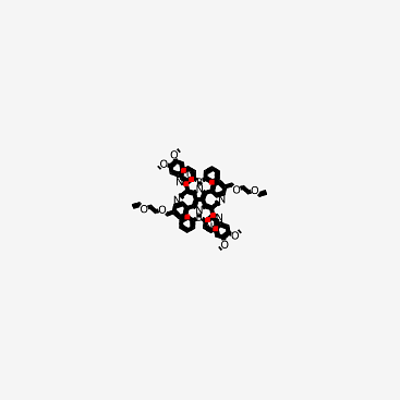 C=COCCOCc1ccc(-c2c3/c(=C(\C#N)c4cnc5cc(OC)c(OC)cc5n4)n(B(c4ccccc4)c4ccccc4)c(-c4ccc(COCCOC=C)cc4)c3/c(=C(\C#N)c3cnc4cc(OC)c(OC)cc4n3)n2B(c2ccccc2)c2ccccc2)cc1